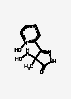 CC1(NO)C(=O)NN=C1c1cccc[n+]1O